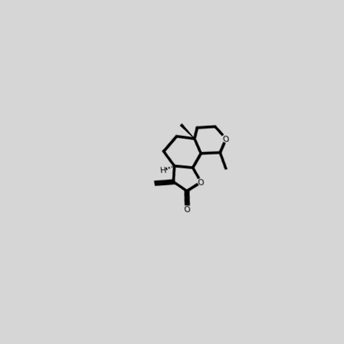 C=C1C(=O)OC2C3C(C)OCC[C@@]3(C)CC[C@H]12